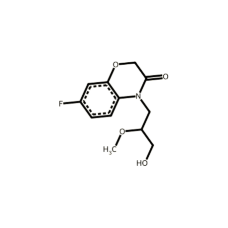 COC(CO)CN1C(=O)COc2cc(F)ccc21